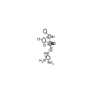 Cl.Cl.Nc1nc(NCCNc2ncc(-c3nc(-c4ccccc4)c[nH]3)c(-c3ccc(Cl)cc3Cl)n2)ccc1[N+](=O)[O-]